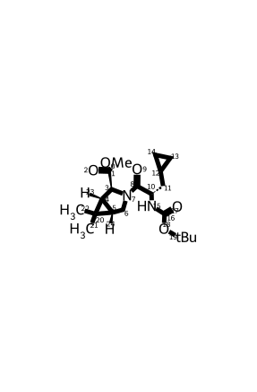 COC(=O)[C@@H]1[C@@H]2[C@H](CN1C(=O)[C@H](CC1CC1)NC(=O)OC(C)(C)C)C2(C)C